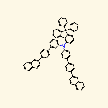 c1ccc(C2(c3ccccc3)c3ccccc3-c3c(N(c4ccc(-c5ccc(-c6ccc7ccccc7c6)cc5)cc4)c4cccc(-c5ccc(-c6ccc7ccccc7c6)cc5)c4)cccc32)cc1